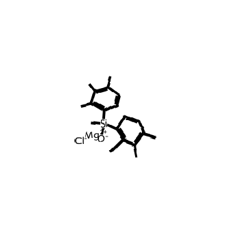 Cc1ccc([Si](C)([O-])c2ccc(C)c(C)c2C)c(C)c1C.[Cl-].[Mg+2]